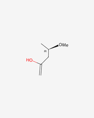 C=C(O)C[C@@H](C)OC